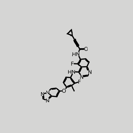 Cc1c(Oc2ccn3ncnc3c2)ccc(Nc2ncnc3ccc(NC(=O)C#CC4CC4)c(F)c23)c1F